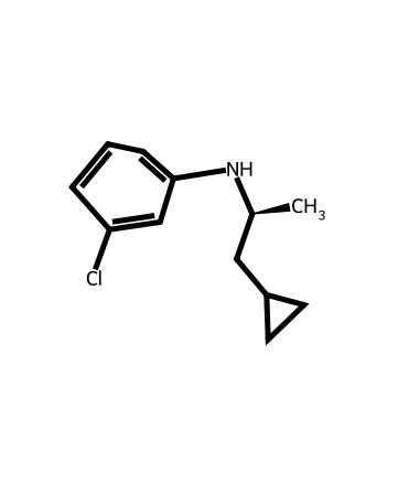 C[C@@H](CC1CC1)Nc1cccc(Cl)c1